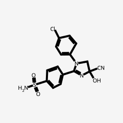 N#CC1(O)CN(c2ccc(Cl)cc2)C(c2ccc(S(N)(=O)=O)cc2)=N1